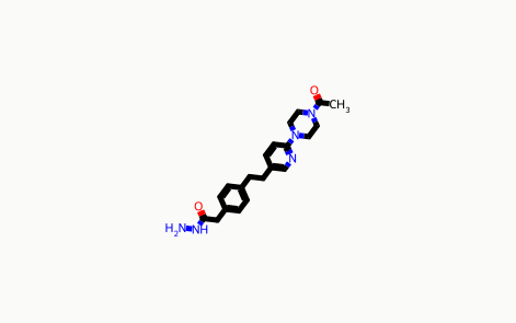 CC(=O)N1CCN(c2ccc(CCc3ccc(CC(=O)NN)cc3)cn2)CC1